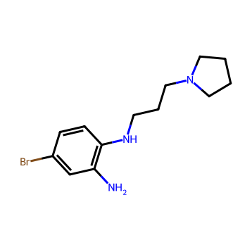 Nc1cc(Br)ccc1NCCCN1CCCC1